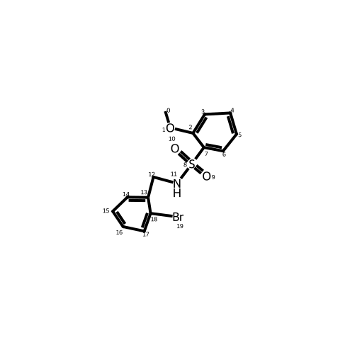 COc1ccccc1S(=O)(=O)NCc1ccccc1Br